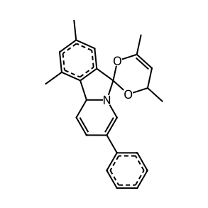 CC1=CC(C)OC2(O1)c1cc(C)cc(C)c1C1C=CC(c3ccccc3)=CN12